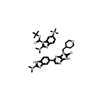 CN(C)c1nc2cc(-c3cnc4[nH]c(=O)n(CC5CCOCC5)c4n3)ccc2[nH]1.CN(C)c1nc2cc[c]([Sn]([CH3])([CH3])[CH3])cc2n1C(=O)OC(C)(C)C